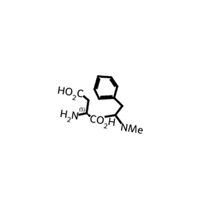 CNC(C)Cc1ccccc1.N[C@@H](CC(=O)O)C(=O)O